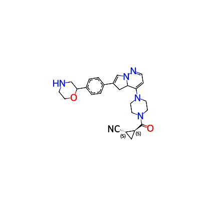 N#C[C@H]1C[C@@H]1C(=O)N1CCN(C2=CC=NN3C=C(c4ccc(C5CNCCO5)cc4)CC23)CC1